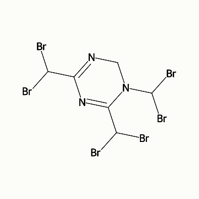 BrC(Br)C1=NCN(C(Br)Br)C(C(Br)Br)=N1